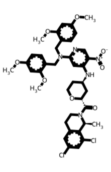 COc1ccc(CN(Cc2ccc(OC)cc2OC)c2cc(N[C@@H]3CCO[C@@H](C(=O)N4CCc5cc(Cl)cc(Cl)c5[C@@H]4C)C3)c([N+](=O)[O-])cn2)c(OC)c1